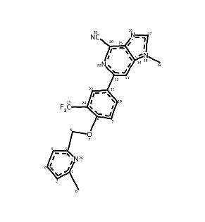 Cc1cccc(COc2ccc(-c3cc4c(ncn4C)c(C#N)n3)cc2C(F)(F)F)n1